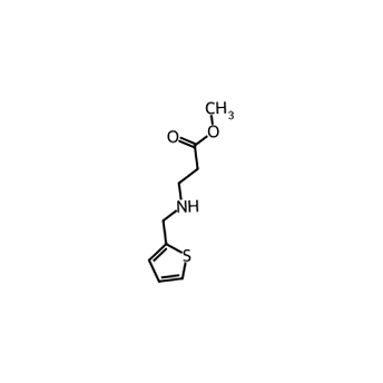 COC(=O)CCNCc1cccs1